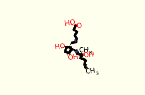 CCCCC[C@](C)(O)/C=C/[C@@H]1[C@@H](C/C=C\CCCC(=O)O)[C@@H](O)C[C@H]1O